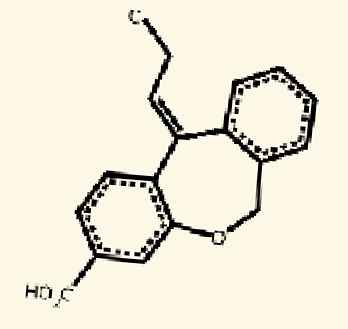 O=C(O)c1ccc2c(c1)OCc1ccccc1C2=CCCl